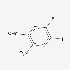 O=Cc1cc(F)c(I)cc1[N+](=O)[O-]